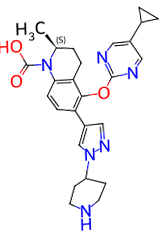 C[C@H]1CCc2c(ccc(-c3cnn(C4CCNCC4)c3)c2Oc2ncc(C3CC3)cn2)N1C(=O)O